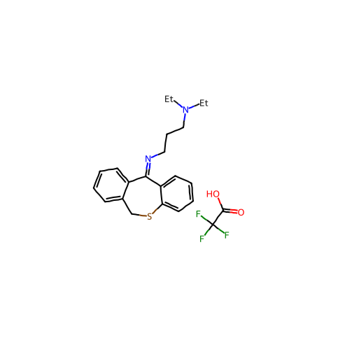 CCN(CC)CCCN=C1c2ccccc2CSc2ccccc21.O=C(O)C(F)(F)F